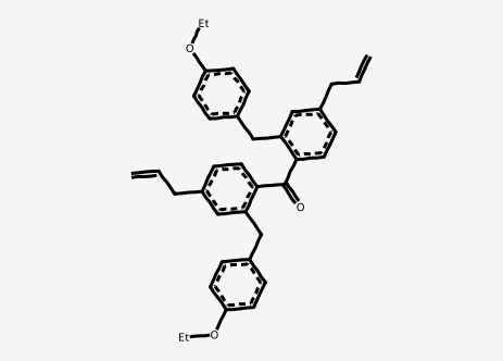 C=CCc1ccc(C(=O)c2ccc(CC=C)cc2Cc2ccc(OCC)cc2)c(Cc2ccc(OCC)cc2)c1